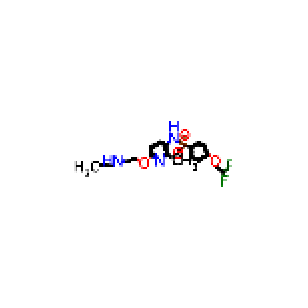 CCCNCCOc1ccc(NS(=O)(=O)c2ccc(OCC(F)F)cc2)c(C)n1